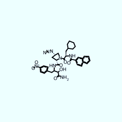 [N-]=[N+]=N[C@H]1C[C@@H](C(=O)NC(Cc2ccc([N+](=O)[O-])cc2)C(O)C(N)=O)N(C(=O)[C@@H](CC2CCCCC2)NC(=O)c2ccc3ccccc3c2)C1